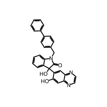 O=C1N(Cc2ccc(-c3ccccc3)cc2)c2ccccc2C1(O)c1cc2nccnc2cc1O